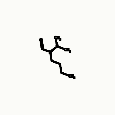 CCCCN(C=O)N(C)C